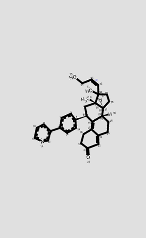 C[C@]12C[C@H](c3ccc(-c4cccnc4)cc3)C3=C4CCC(=O)C=C4CC[C@H]3[C@@H]1CCC2(O)/C=C\CO